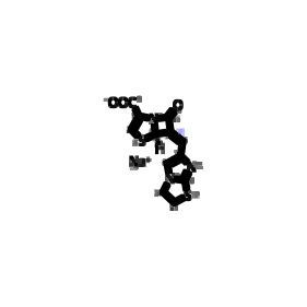 O=C([O-])C1=CS[C@@H]2/C(=C\c3cn4c(n3)SCC4)C(=O)N12.[Na+]